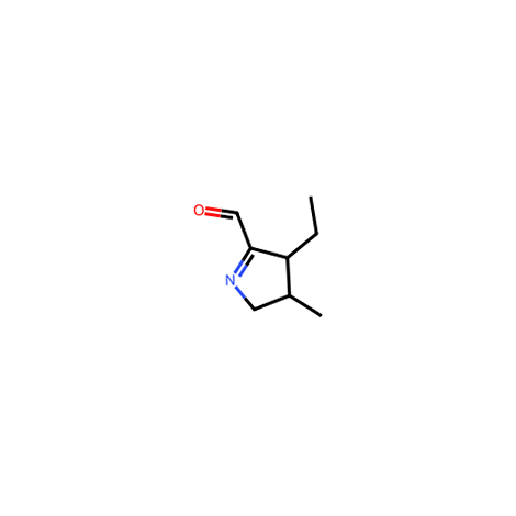 CCC1C(C=O)=NCC1C